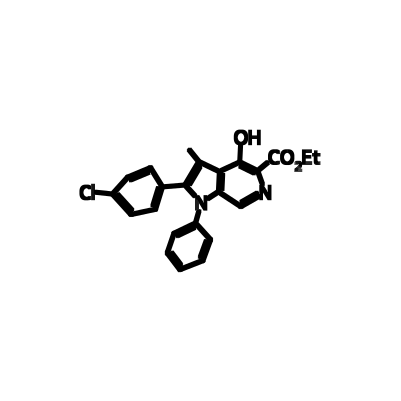 CCOC(=O)c1ncc2c(c(C)c(-c3ccc(Cl)cc3)n2-c2ccccc2)c1O